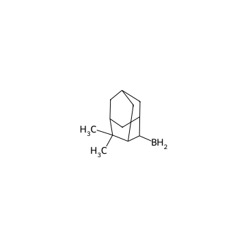 BC1C2CC3CC(C2)C(C)(C)C1C3